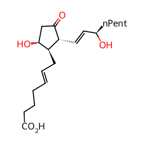 CCCCC[C@@H](O)C=C[C@H]1C(=O)C[C@H](O)[C@@H]1CC=CCCCC(=O)O